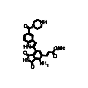 COC(=O)/C=C/c1cc(-c2cc3cc(C(=O)N4CCNCC4)ccc3[nH]2)c2c(c1N)C(=O)NC2=O